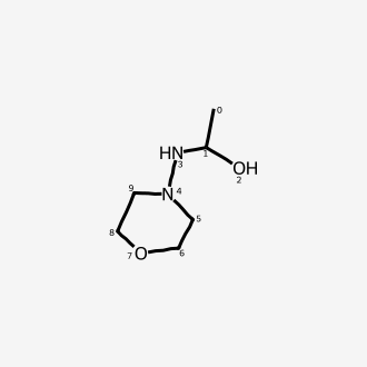 CC(O)NN1CCOCC1